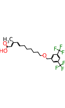 CC(C=CCCCCCCOCc1cc(C(F)(F)F)cc(C(F)(F)F)c1)=CC(=O)O